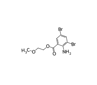 COCCOC(=O)c1cc(Br)cc(Br)c1N